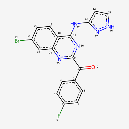 O=C(c1ccc(F)cc1)c1nc(Nc2cc[nH]n2)c2ccc(Br)cc2n1